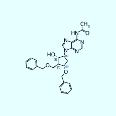 CC(=O)Nc1ncnc2c1ncn2[C@H]1C[C@H](OCc2ccccc2)[C@@H](COCc2ccccc2)[C@@H]1O